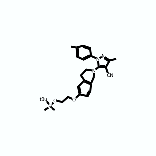 Cc1ccc(-n2nc(C)c(C#N)c2N2CCc3cc(OCCO[Si](C)(C)C(C)(C)C)ccc3C2)cc1